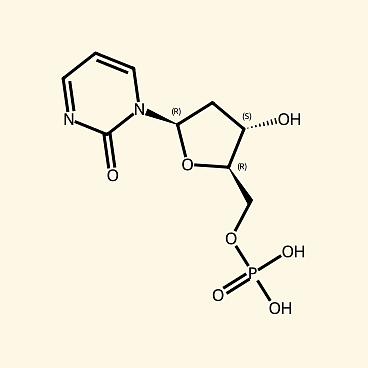 O=c1ncccn1[C@H]1C[C@H](O)[C@@H](COP(=O)(O)O)O1